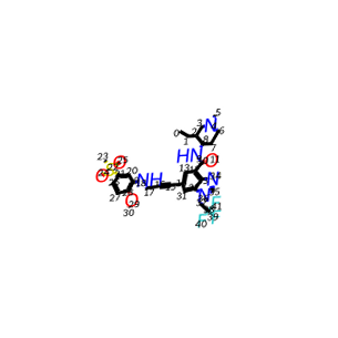 CCC1CN(C)CCC1NC(=O)c1cc(C#CCNc2cc(S(C)(=O)=O)ccc2OC)cc2c1ncn2CC(F)(F)F